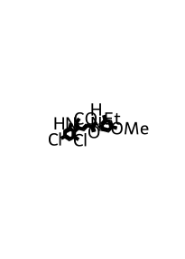 CCOC(=O)c1[nH]c2cc(Cl)cc(Cl)c2c1C=CC(=O)Nc1ccc(OC)cc1C